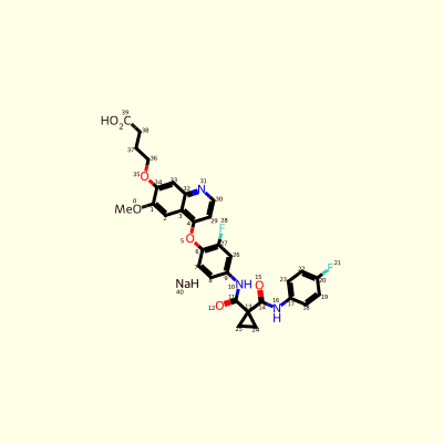 COc1cc2c(Oc3ccc(NC(=O)C4(C(=O)Nc5ccc(F)cc5)CC4)cc3F)ccnc2cc1OCCCC(=O)O.[NaH]